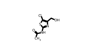 CC(=O)Nc1nc(CO)c(Cl)s1